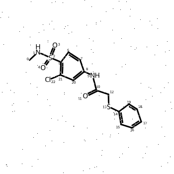 CNS(=O)(=O)c1ccc(NC(=O)CSc2ccccc2)cc1Cl